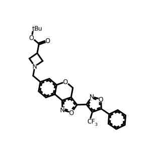 CC(C)(C)OC(=O)C1CN(Cc2ccc3c(c2)OCc2c-3noc2-c2noc(-c3ccccc3)c2C(F)(F)F)C1